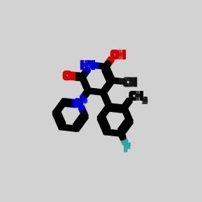 Cc1cc(F)ccc1C1C(C#N)=C(O)NC(=O)C1[n+]1ccccc1